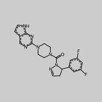 O=C(N1CCN(c2ncc3cc[nH]c3n2)CC1)N1N=CCC1c1cc(F)cc(F)c1